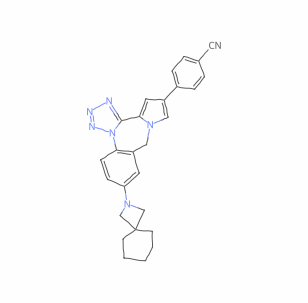 N#Cc1ccc(-c2cc3n(c2)Cc2cc(N4CC5(CCCCC5)C4)ccc2-n2nnnc2-3)cc1